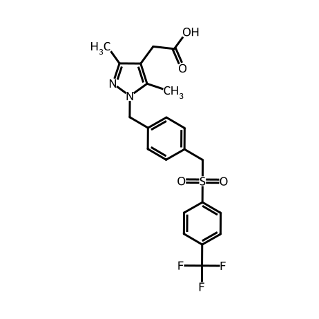 Cc1nn(Cc2ccc(CS(=O)(=O)c3ccc(C(F)(F)F)cc3)cc2)c(C)c1CC(=O)O